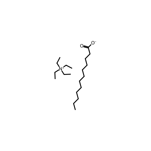 CCCCCCCCCCCC(=O)[O-].CC[N+](CC)(CC)CC